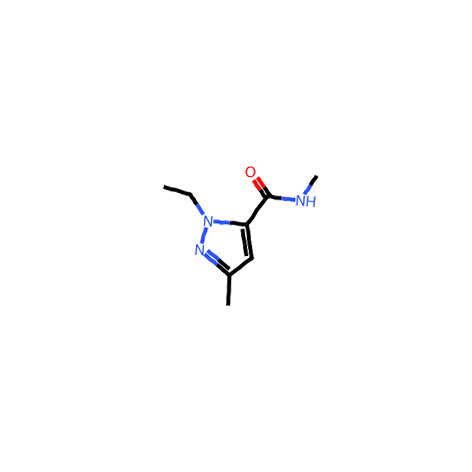 CCn1nc(C)cc1C(=O)NC